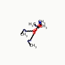 CC/C=C\CC1C(CCOCC(COCCCCCCCC/C=C\C/C=C\CCCCC)OCCCCCCCC/C=C\C/C=C\CCCCC)CCC1OC(=O)C1(CC)CCN(C)CC1